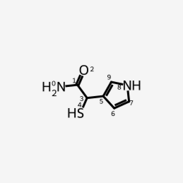 NC(=O)C(S)c1cc[nH]c1